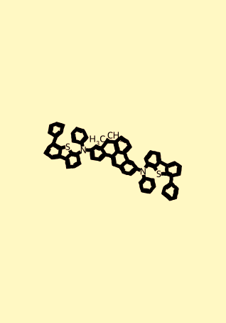 CC1(C)c2cc(N(c3ccccc3)c3cccc4c3sc3c(-c5ccccc5)cccc34)ccc2-c2cc3ccc(N(c4ccccc4)c4cccc5c4sc4c(-c6ccccc6)cccc45)cc3c3cccc1c23